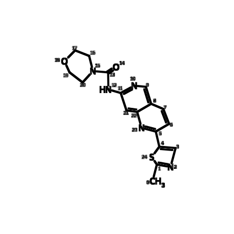 Cc1ncc(-c2ccc3cnc(NC(=O)N4CCOCC4)cc3n2)s1